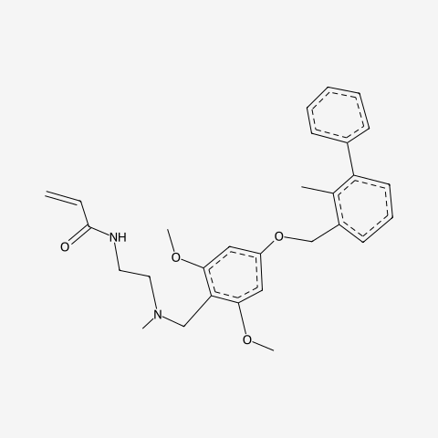 C=CC(=O)NCCN(C)Cc1c(OC)cc(OCc2cccc(-c3ccccc3)c2C)cc1OC